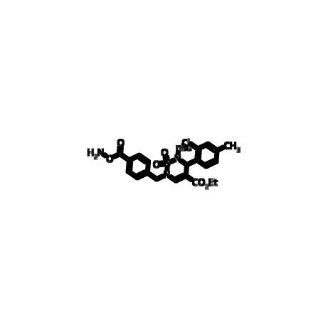 CCCCN1C(c2ccc(C)cc2Cl)C(C(=O)OCC)=CN(Cc2ccc(C(=O)ON)cc2)S1(=O)=O